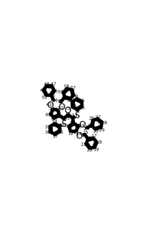 O=C(C(Sc1ccccc1)C1=CCC(OCc2ccccc2)C1OCc1ccccc1)C(Sc1ccccc1)C1=CCC(OCc2ccccc2)C1OCc1ccccc1